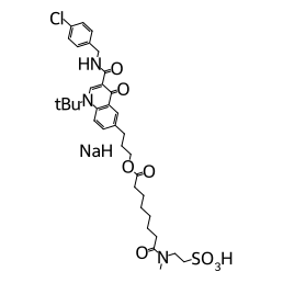 CN(CCS(=O)(=O)O)C(=O)CCCCCCC(=O)OCCCc1ccc2c(c1)c(=O)c(C(=O)NCc1ccc(Cl)cc1)cn2C(C)(C)C.[NaH]